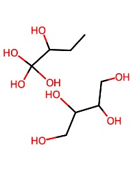 CCC(O)C(O)(O)O.OCC(O)C(O)CO